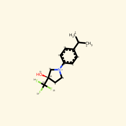 CC(C)c1ccc(N2CC[C@](O)(C(F)(F)F)C2)cc1